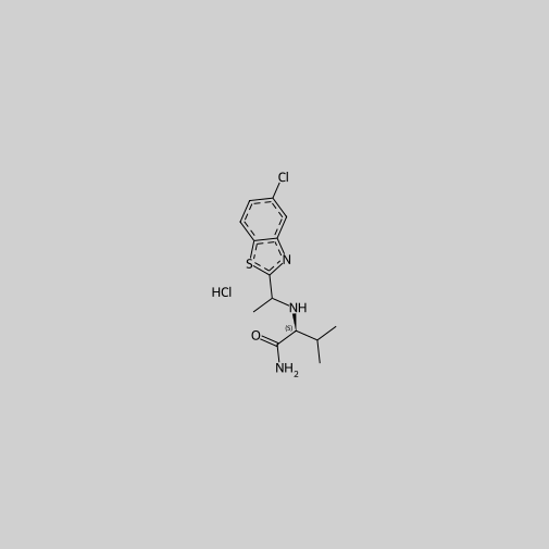 CC(N[C@H](C(N)=O)C(C)C)c1nc2cc(Cl)ccc2s1.Cl